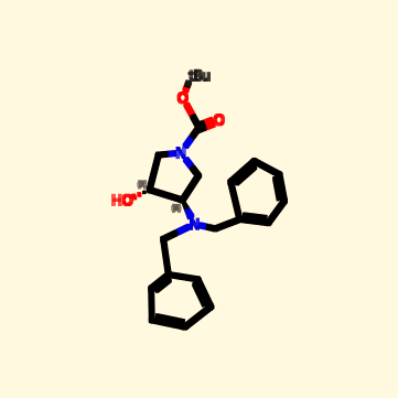 CC(C)(C)OC(=O)N1C[C@@H](O)[C@H](N(Cc2ccccc2)Cc2ccccc2)C1